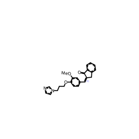 COc1cc(/C=C2/Cc3ccccc3C2=O)ccc1OCCCn1ccnc1